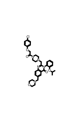 CC(C)Oc1ccccc1-n1c(CN2CCN(C(=O)COc3ccc(Cl)cc3)CC2)nc2ccc(CN3CCOCC3)cc2c1=O